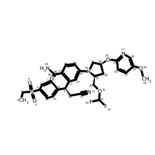 CCS(=O)(=O)c1ccc([C@H](CC#N)c2cc(N3C[C@@H](Oc4ccc(OC)cn4)C[C@H]3COC(F)F)ccc2C(N)=O)cc1